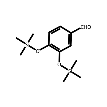 C[Si](C)(C)Oc1ccc(C=O)cc1O[Si](C)(C)C